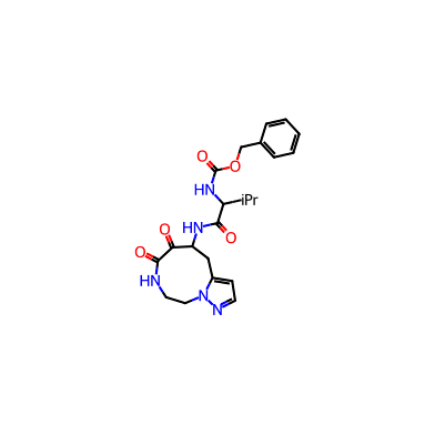 CC(C)C(NC(=O)OCc1ccccc1)C(=O)NC1Cc2ccnn2CCNC(=O)C1=O